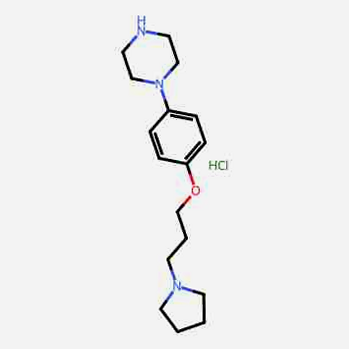 Cl.c1cc(N2CCNCC2)ccc1OCCCN1CCCC1